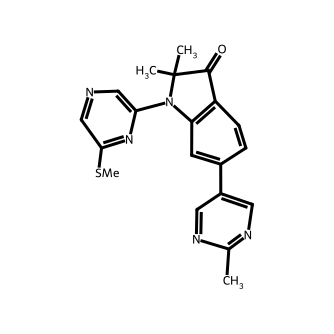 CSc1cncc(N2c3cc(-c4cnc(C)nc4)ccc3C(=O)C2(C)C)n1